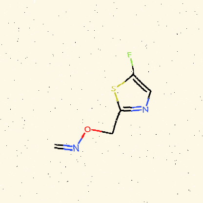 C=NOCc1ncc(F)s1